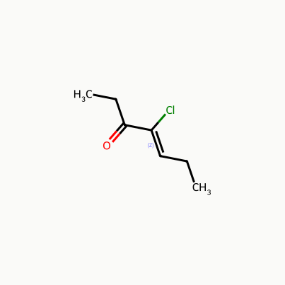 CC/C=C(\Cl)C(=O)CC